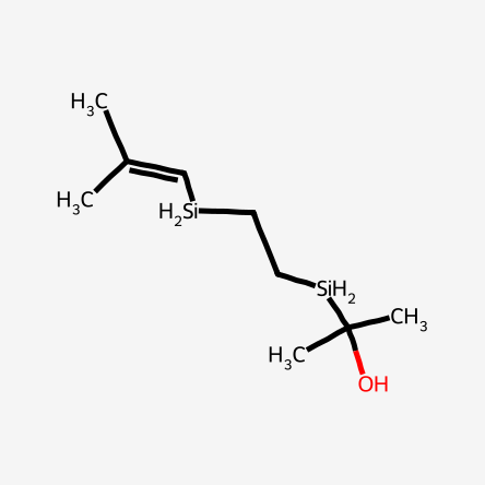 CC(C)=C[SiH2]CC[SiH2]C(C)(C)O